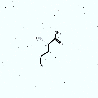 CC(C)OC[C@H](N)C(N)=O